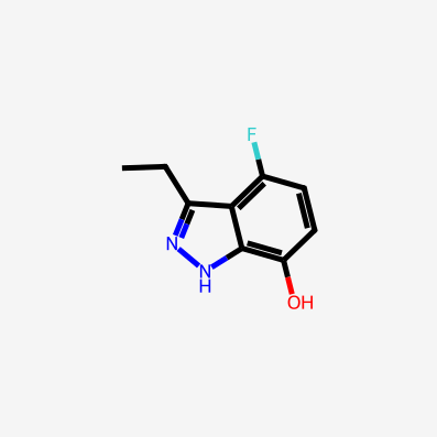 CCc1n[nH]c2c(O)ccc(F)c12